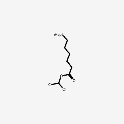 CCCCCCCCCCCCC(=O)OC(Cl)Cl